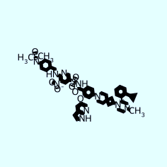 CN1CCN(C2CC3(CCN(c4ccc(C(=O)NS(=O)(=O)c5cnc(NCC6CCC(N=S(C)(C)=O)CC6)c([N+](=O)[O-])c5)c(Oc5cnc6[nH]ccc6c5)c4)CC3)C2)[C@@H](c2ccccc2C2CC2)C1